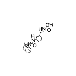 O=C(O)NCCc1cccc(NC(=O)NC23CC4CC(CC(C4)C2)C3)c1